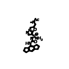 CC(=O)N(C)CC1Cn2ncc(S(N)(=O)=NC(=O)Nc3c4c(cc5c3CCC5)CCC4)c2O1